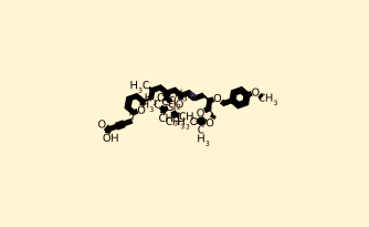 C=C(CC(/C=C/C[C@@H](OCc1ccc(OC)cc1)[C@@H]1COC(C)(C)O1)O[Si](C(C)C)(C(C)C)C(C)C)C[C@H](C)C[C@@H]1CC=C[C@@H](CC#CC(=O)O)O1